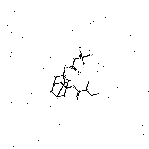 CCC(I)C(=O)OC12CC3CC(CC(OC(=O)CC(F)(F)F)(C3)C1)C2